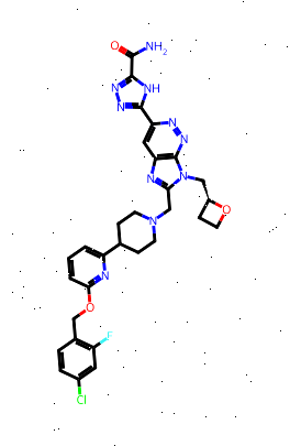 NC(=O)c1nnc(-c2cc3nc(CN4CCC(c5cccc(OCc6ccc(Cl)cc6F)n5)CC4)n(C[C@@H]4CCO4)c3nn2)[nH]1